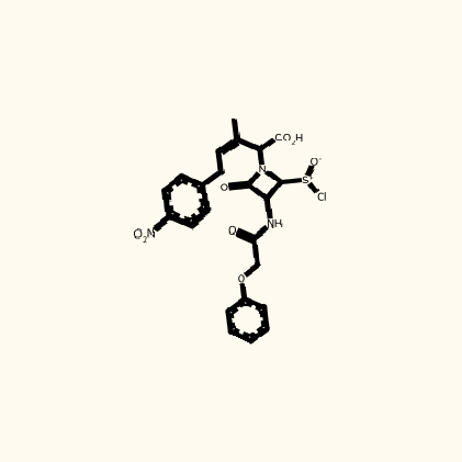 CC(=CCc1ccc([N+](=O)[O-])cc1)C(C(=O)O)N1C(=O)C(NC(=O)COc2ccccc2)C1[S+]([O-])Cl